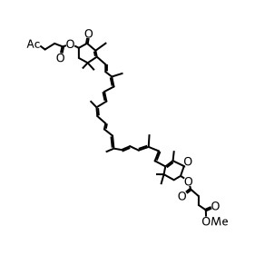 COC(=O)CCC(=O)OC1CC(C)(C)C(/C=C/C(C)=CC=CC(C)=C/C=C/C=C(C)C=CC=C(C)/C=C/C2=C(C)C(=O)C(OC(=O)CCC(C)=O)CC2(C)C)=C(C)C1=O